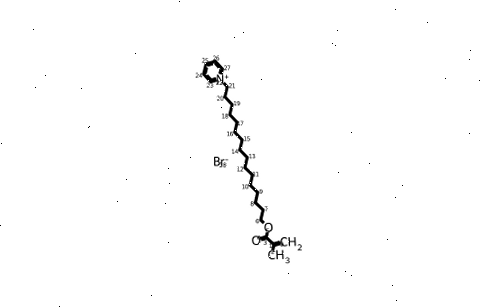 C=C(C)C(=O)OCCCCCCCCCCCCCCCC[n+]1ccccc1.[Br-]